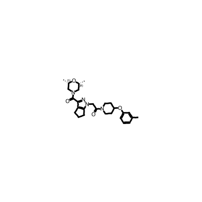 Cc1cccc(OC2CCN(C(=O)Cn3nc(C(=O)N4C[C@@H](C)O[C@@H](C)C4)c4c3CCC4)CC2)c1